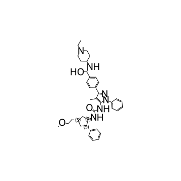 CCN1CCC(NC(O)c2ccc(-c3nn(-c4ccccc4)c(NC(=O)N[C@@H]4C[C@@H](CCOC)C[C@H]4c4ccccc4)c3C)cc2)CC1